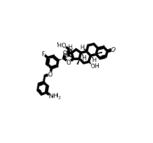 C[C@]12C=CC(=O)C=C1CC[C@@H]1[C@@H]2[C@@H](O)C[C@@]2(C)[C@H]1C[C@H]1O[C@@H](c3cc(F)cc(OCc4cccc(N)c4)c3)O[C@]12C(=O)CO